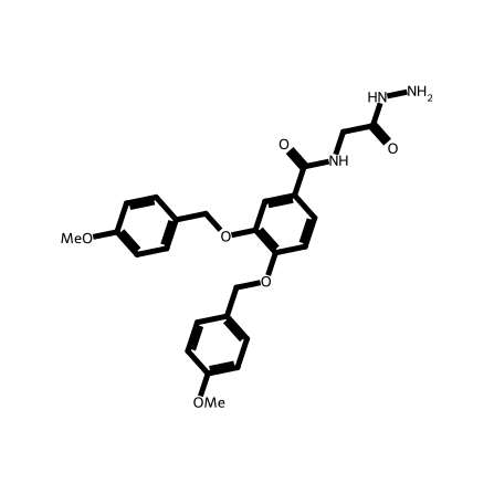 COc1ccc(COc2ccc(C(=O)NCC(=O)NN)cc2OCc2ccc(OC)cc2)cc1